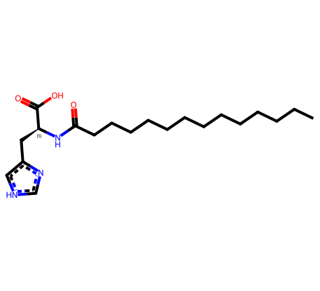 CCCCCCCCCCCCCC(=O)N[C@@H](Cc1c[nH]cn1)C(=O)O